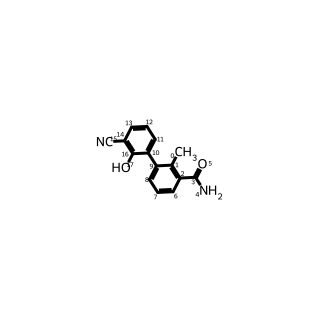 Cc1c(C(N)=O)cccc1-c1cccc(C#N)c1O